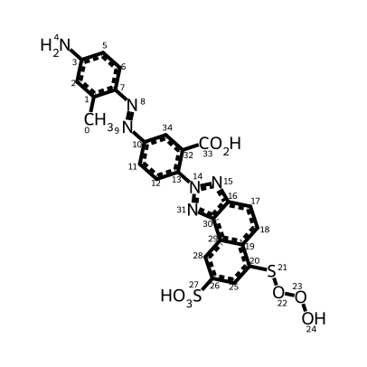 Cc1cc(N)ccc1N=Nc1ccc(-n2nc3ccc4c(SOOO)cc(S(=O)(=O)O)cc4c3n2)c(C(=O)O)c1